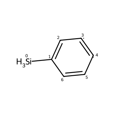 [SiH3]c1c[c][c]cc1